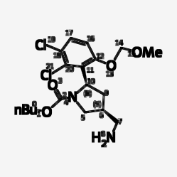 CCCCOC(=O)N1C[C@H](CN)C[C@@H]1c1c(OCOC)ccc(Cl)c1Cl